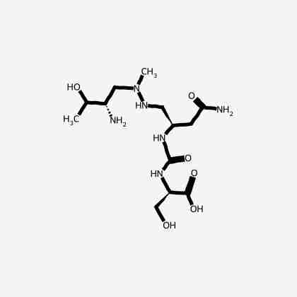 CC(O)[C@@H](N)CN(C)NC[C@@H](CC(N)=O)NC(=O)N[C@H](CO)C(=O)O